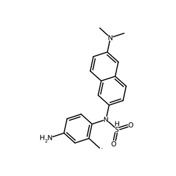 [CH2]c1cc(N)ccc1N(c1ccc2cc(N(C)C)ccc2c1)[SH](=O)=O